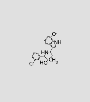 CCC(NC(CO)c1cccc(Cl)c1)c1c[nH]c2c([O])cccc12